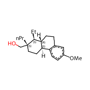 CCC[C@]1(CO)CC[C@@H]2c3ccc(OC)cc3CC[C@H]2[C@@H]1CC